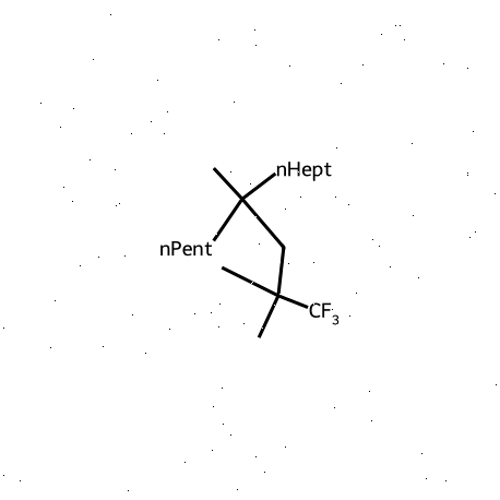 CCCCCCCC(C)(CCCCC)CC(C)(C)C(F)(F)F